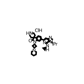 CC(C)n1cnc2cc(-c3ccc4c(c3)N(C3CC(N5CCCCC5)C3)C(=O)C43CCNCC3)nc(NC3CC3)c21.Cl